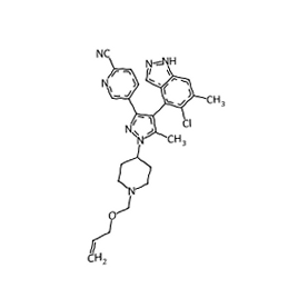 C=CCOCN1CCC(n2nc(-c3ccc(C#N)nc3)c(-c3c(Cl)c(C)cc4[nH]ncc34)c2C)CC1